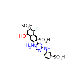 NC1=CC2=C(O)CC(S(=O)(=O)O)=C(F)C2=CC1(c1ncnc(Nc2cccc(S(=O)(=O)O)c2)n1)S(=O)(=O)O